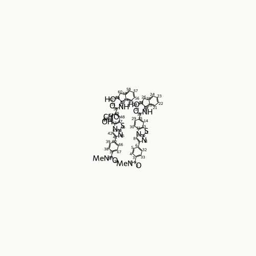 CNC(=O)c1ccc(-c2cn3c(n2)sc2cc(C(=O)N[C@H]4c5ccccc5C[C@H]4O)ccc23)cc1.CNC(=O)c1ccc(-c2cn3c(n2)sc2cc(C(=O)N[C@H]4c5ccccc5C[C@H]4O)ccc23)cc1.O=CO